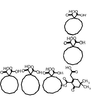 CC1(C)CC(=O)C(C(=O)O)=C(CC(=O)O)C1.O=C(O)C1(C(=O)O)CCCCCCCCCCC1.O=C(O)C1(C(=O)O)CCCCCCCCCCC1.O=C(O)C1(C(=O)O)CCCCCCCCCCC1.O=C(O)C1(C(=O)O)CCCCCCCCCCC1.O=C(O)C1(C(=O)O)CCCCCCCCCCC1